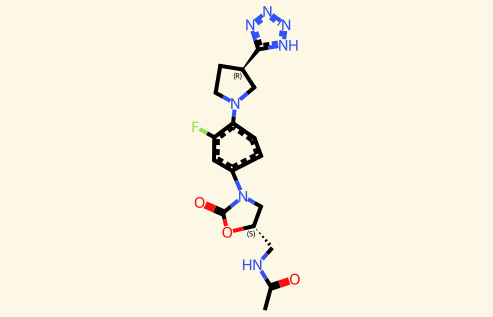 CC(=O)NC[C@H]1CN(c2ccc(N3CC[C@@H](c4nnn[nH]4)C3)c(F)c2)C(=O)O1